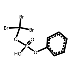 O=P(O)(Oc1ccccc1)OC(Br)(Br)Br